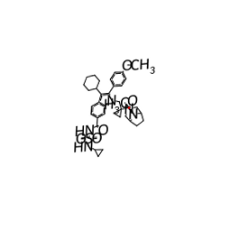 COc1ccc(-c2c(C3CCCCC3)c3ccc(C(=O)NS(=O)(=O)NC4CC4)cc3n2CC2(C(=O)N3C4CCC3CN(C)C4)CC2)cc1